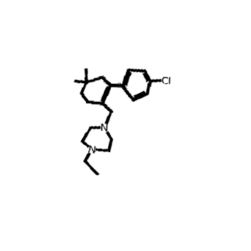 CCN1CCN(CC2=C(c3ccc(Cl)cc3)CC(C)(C)CC2)CC1